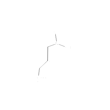 CN(C)CCC[C]=O